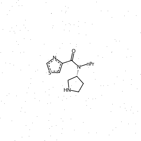 CCCN(C(=O)c1cscn1)[C@@H]1CCNC1